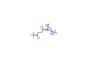 CC(C)(C)NCC1(NC(=O)CCC(=O)C(C)(C)C)CC1